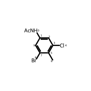 CC(=O)Nc1cc(Cl)c(C)c(Br)c1